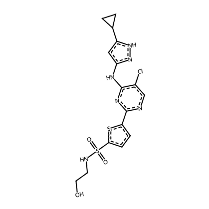 O=S(=O)(NCCO)c1ccc(-c2ncc(Cl)c(Nc3cc(C4CC4)[nH]n3)n2)s1